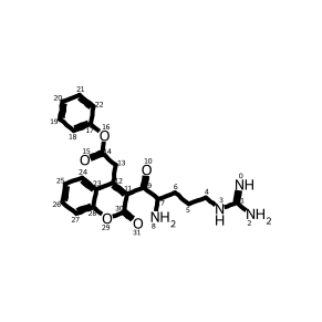 N=C(N)NCCCC(N)C(=O)c1c(CC(=O)Oc2ccccc2)c2ccccc2oc1=O